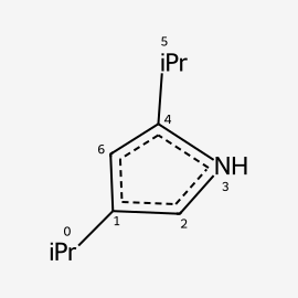 CC(C)c1c[nH]c(C(C)C)c1